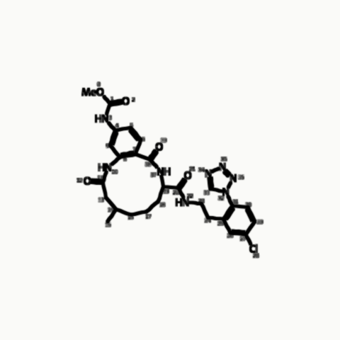 COC(=O)Nc1ccc2c(c1)NC(=O)CC(C)CCCC(C(=O)NCCc1cc(Cl)ccc1-n1cnnn1)NC2=O